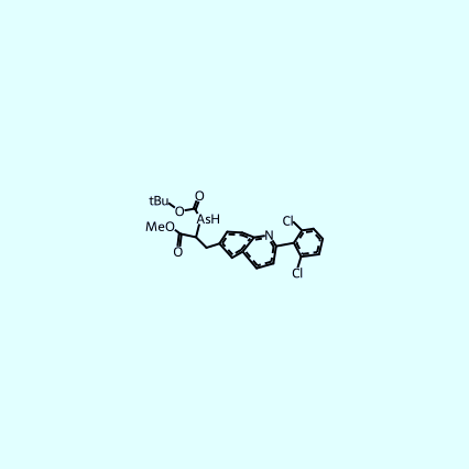 COC(=O)C(Cc1ccc2nc(-c3c(Cl)cccc3Cl)ccc2c1)[AsH]C(=O)OC(C)(C)C